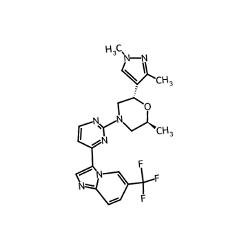 Cc1nn(C)cc1[C@H]1CN(c2nccc(-c3cnc4ccc(C(F)(F)F)cn34)n2)C[C@H](C)O1